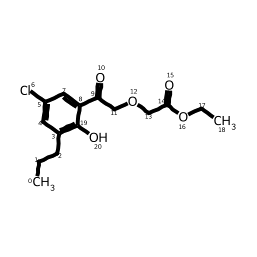 CCCc1cc(Cl)cc(C(=O)COCC(=O)OCC)c1O